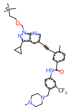 Cc1ccc(C(=O)Nc2ccc(CN3CCN(C)CC3)c(C(F)(F)F)c2)cc1C#Cc1cnc2c(c1)c(C1CC1)nn2COCC[Si](C)(C)C